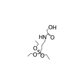 CCO[Si](CCCNC(=O)CO)(OCC)OCC